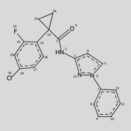 O=C(Nc1ccn(-c2ccccc2)n1)C1(c2ccc(Cl)cc2F)CC1